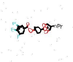 CCCC12COC(C3CCC(OC(=O)c4cc(F)c(F)c(F)c4)CC3)(OC1)OC2